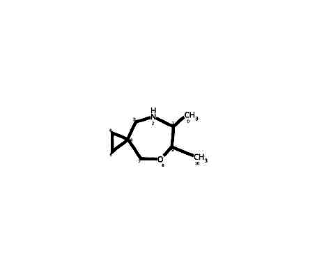 CC1NCC2(CC2)COC1C